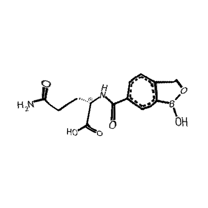 NC(=O)CC[C@H](NC(=O)c1ccc2c(c1)B(O)OC2)C(=O)O